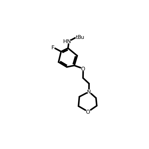 CC(C)(C)Nc1cc(OCCN2CCOCC2)ccc1F